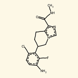 CNC(=O)c1ncn2c1CCC(c1c(Cl)ccc(N)c1F)C2